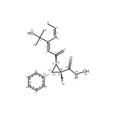 C=C(/C=C(\N=C/C)C(C)(C)O)[C@@H]1[C@@H](c2ccccc2)[C@@]1(F)C(=O)NO